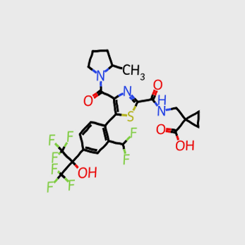 CC1CCCN1C(=O)c1nc(C(=O)NCC2(C(=O)O)CC2)sc1-c1ccc(C(O)(C(F)(F)F)C(F)(F)F)cc1C(F)F